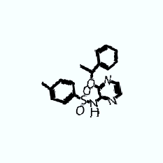 Cc1ccc(S(=O)(=O)Nc2nccnc2OC(C)c2ccccc2)cc1